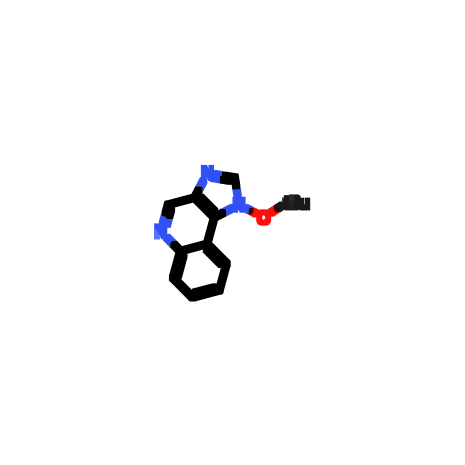 CC(C)(C)On1cnc2cnc3ccccc3c21